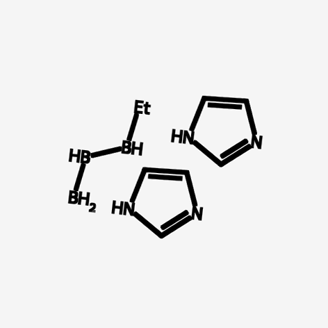 BBBCC.c1c[nH]cn1.c1c[nH]cn1